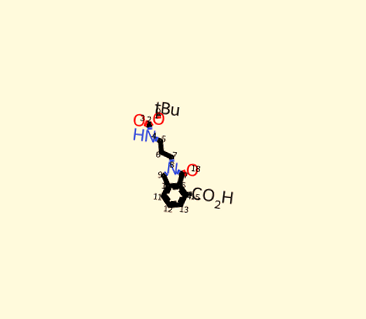 CC(C)(C)OC(=O)NCCCN1Cc2cccc(C(=O)O)c2C1=O